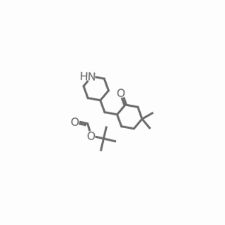 CC(C)(C)OC=O.CC1(C)CCC(CC2CCNCC2)C(=O)C1